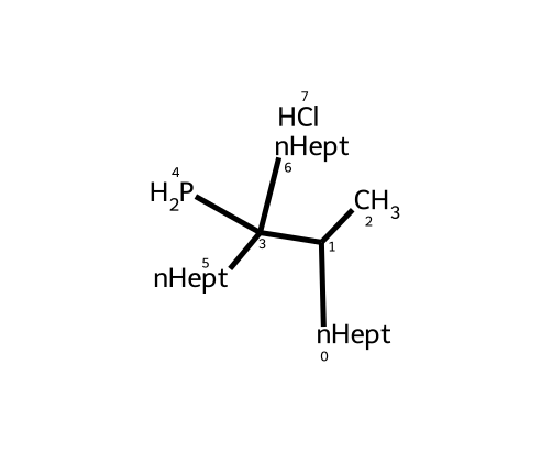 CCCCCCCC(C)C(P)(CCCCCCC)CCCCCCC.Cl